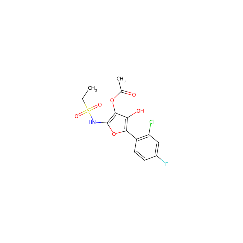 CCS(=O)(=O)Nc1oc(-c2ccc(F)cc2Cl)c(O)c1OC(C)=O